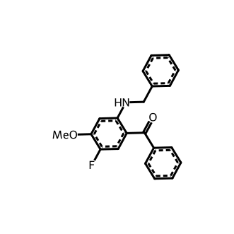 COc1cc(NCc2ccccc2)c(C(=O)c2ccccc2)cc1F